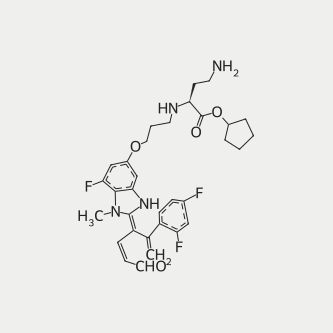 C=C(C(/C=C\C=O)=C1\Nc2cc(OCCCN[C@@H](CCN)C(=O)OC3CCCC3)cc(F)c2N1C)c1ccc(F)cc1F